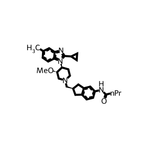 CCCC(=O)Nc1ccc2c(c1)C[C@H](CN1CC[C@H](n3c(C4CC4)nc4cc(C)ccc43)[C@@H](OC)C1)C2